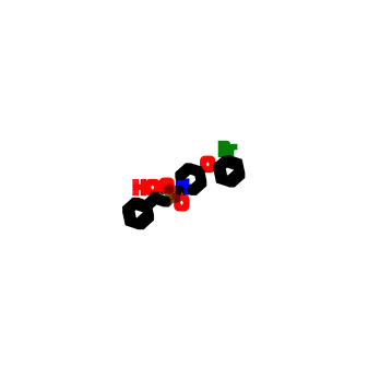 O=S(=O)(C[C@H](O)c1ccccc1)N1CCC(Oc2ccccc2Br)CC1